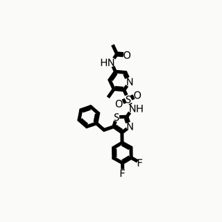 CC(=O)Nc1cnc(S(=O)(=O)Nc2nc(-c3ccc(F)c(F)c3)c(Cc3ccccc3)s2)c(C)c1